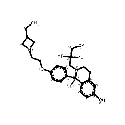 CCC1CN(CCOc2ccc([C@@]3(C)c4ccc(O)cc4CCN3CC(F)(F)CO)cc2)C1